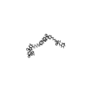 O=C(/C=C/c1cccnc1)NCCCCC1CCN(C(=O)c2ccc(N3CCN(CCCCCc4cccc5c4CN(C4CCC(=O)NC4=O)C5=O)CC3)nn2)CC1